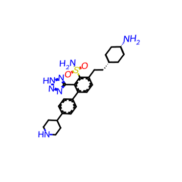 NS(=O)(=O)c1c(CC[C@H]2CC[C@@H](N)CC2)ccc(-c2ccc(C3CCNCC3)cc2)c1-c1nn[nH]n1